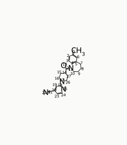 Cc1ccc2c(c1)CCCCN2C(=O)C1CCN(c2cc(C#N)ccn2)CC1